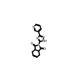 O=C1C2CC=CCC2C(=O)N1c1nc(-c2cccnc2)n[nH]1